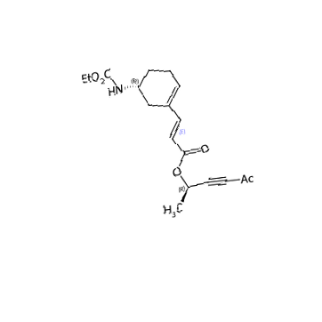 CCOC(=O)N[C@@H]1CCC=C(/C=C/C(=O)O[C@H](C)C#CC(C)=O)C1